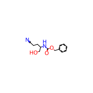 N#CCCC(CO)NC(=O)OCc1ccccc1